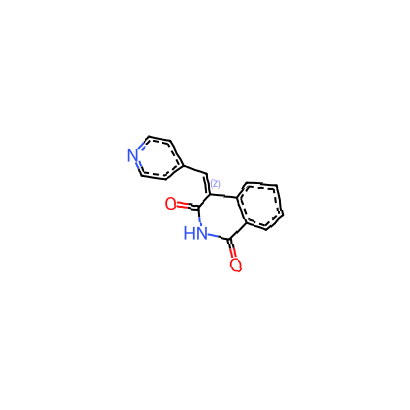 O=C1NC(=O)c2ccccc2/C1=C/c1ccncc1